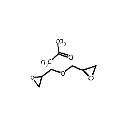 C(OCC1CO1)C1CO1.O=C(C(Cl)(Cl)Cl)C(Cl)(Cl)Cl